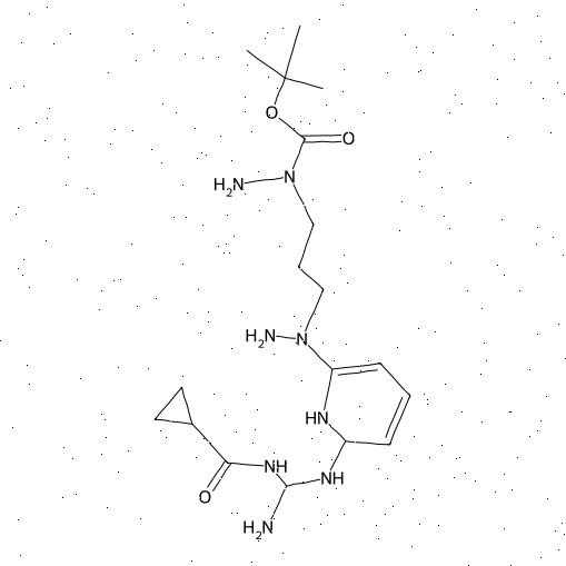 CC(C)(C)OC(=O)N(N)CCCN(N)C1=CC=CC(NC(N)NC(=O)C2CC2)N1